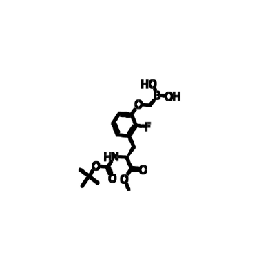 COC(=O)[C@H](Cc1cccc(OCB(O)O)c1F)NC(=O)OC(C)(C)C